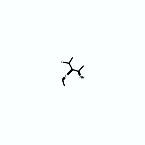 CC=C=C(C(C)=N)C(C)F